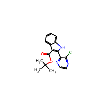 CC(C)(C)OC(=O)c1c(-c2nccnc2Cl)[nH]c2ccccc12